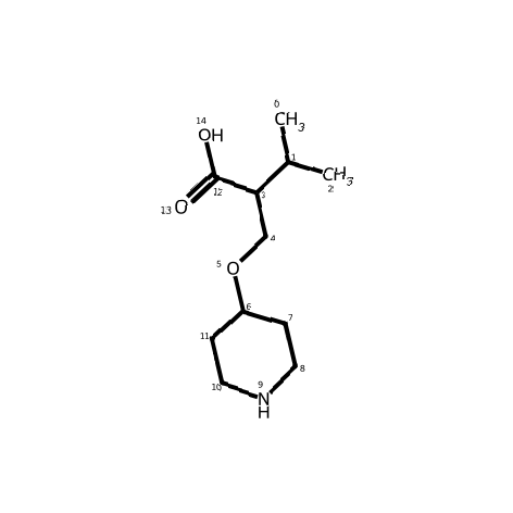 CC(C)C(COC1CCNCC1)C(=O)O